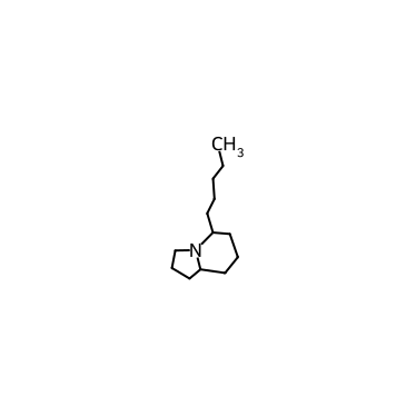 CCCCCC1CCCC2CCCN12